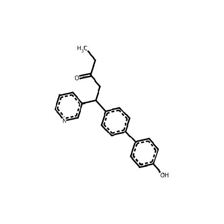 CCC(=O)CC(c1ccc(-c2ccc(O)cc2)cc1)c1cccnc1